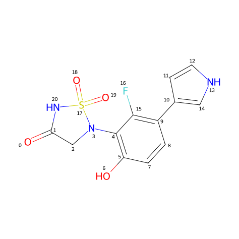 O=C1CN(c2c(O)ccc(-c3cc[nH]c3)c2F)S(=O)(=O)N1